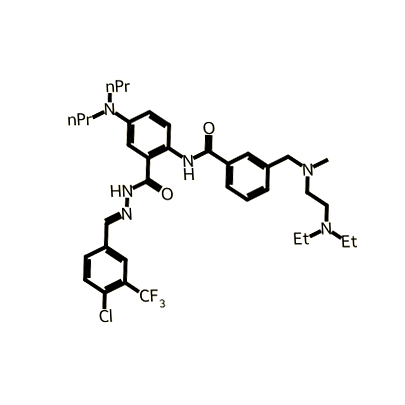 CCCN(CCC)c1ccc(NC(=O)c2cccc(CN(C)CCN(CC)CC)c2)c(C(=O)N/N=C/c2ccc(Cl)c(C(F)(F)F)c2)c1